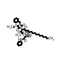 CCCCCCCCCCCC(CCC(Cl)C(C(=O)C(C)(C)C)N1C(=O)C(OCC)N(Cc2ccccc2)C1=O)S(=O)(=O)NCC(=O)Nc1ccccc1